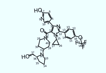 O=C(c1c(-c2ccc(O)nc2)nc(-c2ccc(OC(F)(F)F)cc2)n1C1CC1)N1CCC(N2CCC[C@H]2CO)CC1